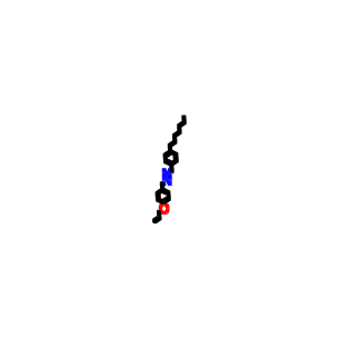 C=CCOc1ccc(/C=N/N=C/c2ccc(CCCCCCC)cc2)cc1